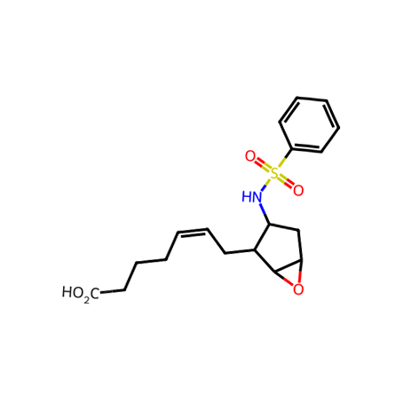 O=C(O)CCC/C=C\CC1C(NS(=O)(=O)c2ccccc2)CC2OC21